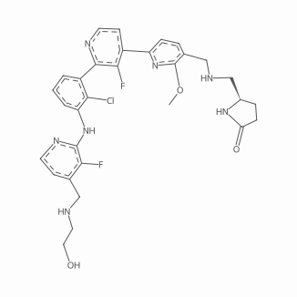 COc1nc(-c2ccnc(-c3cccc(Nc4nccc(CNCCO)c4F)c3Cl)c2F)ccc1CNC[C@H]1CCC(=O)N1